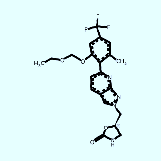 CCOCOc1cc(C(F)(F)F)cc(C)c1-c1ccc2cn(C[C@H]3CNC(=O)O3)nc2n1